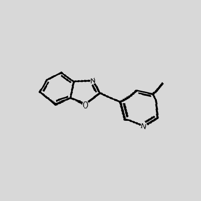 Cc1cncc(-c2nc3ccccc3o2)c1